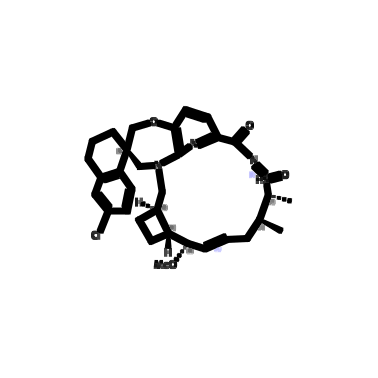 CO[C@H]1/C=C/C[C@H](C)[C@@H](C)/[SH](=O)=N\C(=O)c2ccc3c(n2)N(C[C@@H]2CC[C@H]21)C[C@@]1(CCCc2cc(Cl)ccc21)CO3